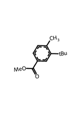 COC(=O)c1ccc(C)c(C(C)(C)C)c1